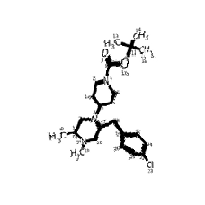 C[C@H]1CN(C2CCN(C(=O)OC(C)(C)C)CC2)C(Cc2ccc(Cl)cc2)CN1C